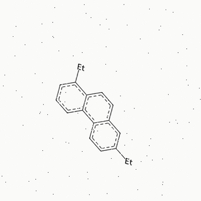 CCc1ccc2c(ccc3c(CC)cccc32)c1